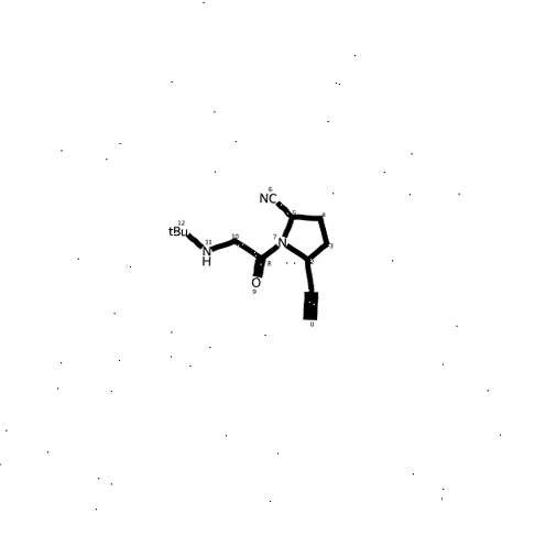 C#CC1CCC(C#N)N1C(=O)CNC(C)(C)C